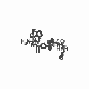 C[C@H](NCB=O)C(=O)N[C@@H](C)C(=O)NS(=O)(=O)c1ccc(Nc2nc(N)n(C(=O)c3c(F)cccc3F)n2)cc1